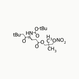 CC(C)(C)CC(=O)[C@H](CCC(=O)OCC(C)(C)CO[N+](=O)[O-])NC(=O)OC(C)(C)C